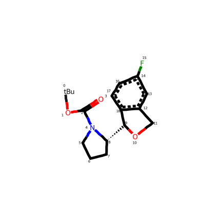 CC(C)(C)OC(=O)N1CCC[C@H]1C1OCc2cc(F)ccc21